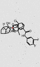 Cc1nc(C(O)[C@@]2(O)C3CC[C@H]2C[C@H](S(=O)(=O)c2cc(C(=O)Nc4ccc(F)c(F)c4)ccc2Cl)C3)ccc1F